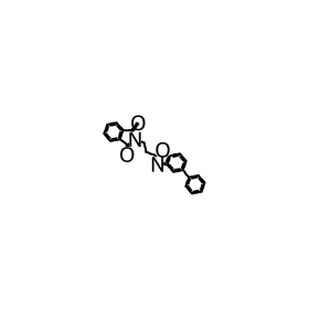 O=C1c2ccccc2C(=O)N1CCc1nc2cc(-c3ccccc3)ccc2o1